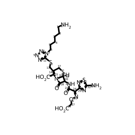 NCCCCCCn1nnnc1SCC1=C(C(=O)O)N2C(=O)C(NC(=O)/C(=N\OCC(=O)O)c3nsc(N)n3)[C@H]2SC1